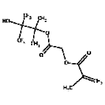 C=C(C)C(=O)OCC(=O)OC(C)(C)C(O)(C(F)(F)F)C(F)(F)F